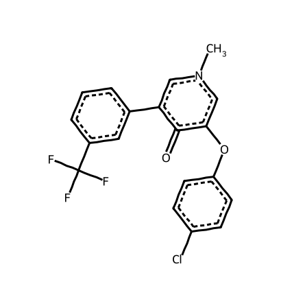 Cn1cc(Oc2ccc(Cl)cc2)c(=O)c(-c2cccc(C(F)(F)F)c2)c1